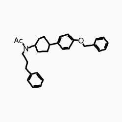 CC(=O)N(CCCc1ccccc1)C1CCC(c2ccc(OCc3ccccc3)cc2)CC1